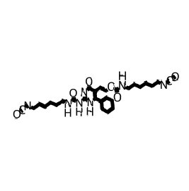 O=C=NCCCCCCNC(=O)Nc1nc(=O)c(CCOC(=O)NCCCCCCN=C=O)c(C2CCCCC2)[nH]1